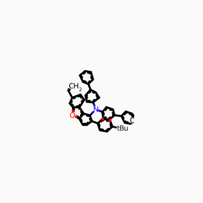 C=Cc1ccc2c(c1)oc1ccc(-c3ccc(C(C)(C)C)cc3)c(N(c3ccc(-c4ccccc4)cc3)c3ccc(-c4ccccc4)cc3)c12